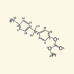 CC(C)OC(=O)Oc1ccc(C(C)(C)c2ccc(C(C)C)cc2)cc1